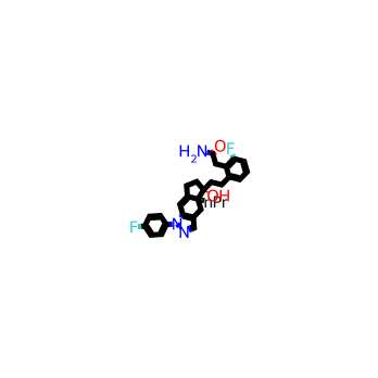 CCCC12Cc3cnn(-c4ccc(F)cc4)c3C=C1CC[C@@]2(O)CCc1cccc(F)c1CC(N)=O